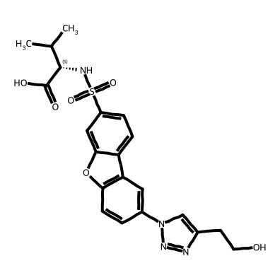 CC(C)[C@H](NS(=O)(=O)c1ccc2c(c1)oc1ccc(-n3cc(CCO)nn3)cc12)C(=O)O